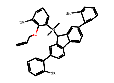 C=CCOc1c(C(C)(C)C)cccc1[Si](C)(C)C1c2cc(-c3ccccc3C(C)(C)C)ccc2-c2ccc(-c3ccccc3C(C)(C)C)cc21